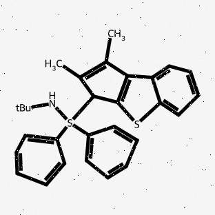 CC1=C(C)C(S(NC(C)(C)C)(c2ccccc2)c2ccccc2)c2sc3ccccc3c21